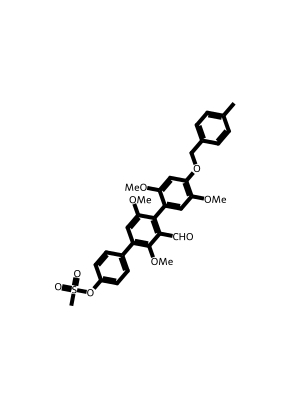 COc1cc(-c2c(OC)cc(-c3ccc(OS(C)(=O)=O)cc3)c(OC)c2C=O)c(OC)cc1OCc1ccc(C)cc1